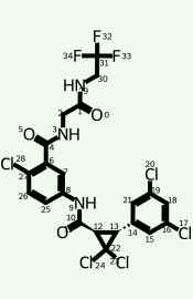 O=C(CNC(=O)c1cc(NC(=O)[C@H]2[C@H](c3cc(Cl)cc(Cl)c3)C2(Cl)Cl)ccc1Cl)NCC(F)(F)F